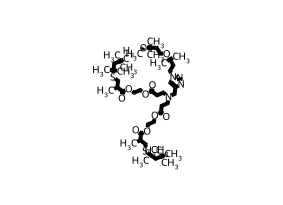 COC(C)(C)CCOC(C)(C)CCn1cc(CN(CCC(=O)OCCOC(=O)C(C)CSC(C)(C)CC(C)(C)C)CCC(=O)OCCOC(=O)C(C)CSC(C)(C)CC(C)(C)C)nn1